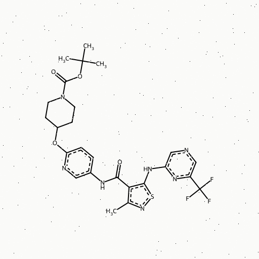 Cc1nsc(Nc2cncc(C(F)(F)F)n2)c1C(=O)Nc1ccc(OC2CCN(C(=O)OC(C)(C)C)CC2)nc1